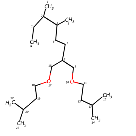 CCC(C)C(C)CCC(COCCC(C)C)COCCC(C)C